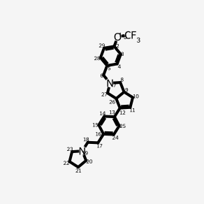 FC(F)(F)Oc1ccc(CN2CC3CC=C(c4ccc(CCN5CCCC5)cc4)C3C2)cc1